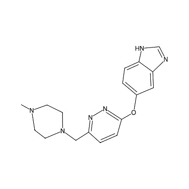 CN1CCN(Cc2ccc(Oc3ccc4[nH]cnc4c3)nn2)CC1